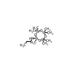 CCCN[Si]1(C)O[Si](C)(C)O[Si](C)(C)O[Si](C)(C)O1